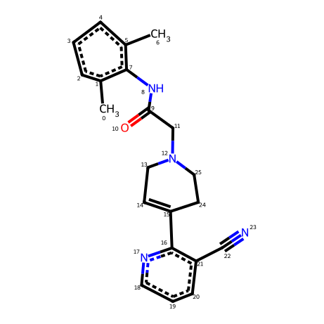 Cc1cccc(C)c1NC(=O)CN1CC=C(c2ncccc2C#N)CC1